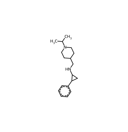 CC(C)N1CCC(CNC2CC2c2ccccc2)CC1